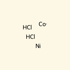 Cl.Cl.[Co].[Ni]